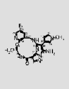 C[C@H]1CNC(=O)c2cnn3c(N)c(-c4ccn(C)c4)c(nc23)NCc2cc(F)cnc2O1